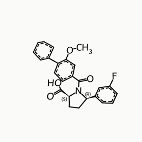 COc1cc(C(=O)N2[C@@H](c3cccc(F)c3)CC[C@H]2C(=O)O)ccc1-c1ccccc1